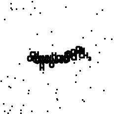 CC(=O)N1CCC(Nc2cc(C(=O)NCC(O)CN3CCc4c(ccc(OCc5ocnc5C)c4Cl)C3)ncn2)CC1